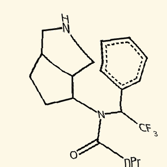 CCCC(=O)N(C1CCC2CNCC21)C(c1ccccc1)C(F)(F)F